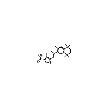 C/C(=C\c1ncc(C(=O)O)[nH]1)c1cc2c(cc1C)C(C)(C)CCC2(C)C